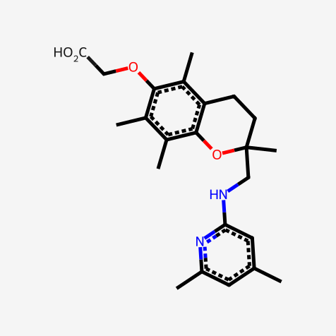 Cc1cc(C)nc(NCC2(C)CCc3c(C)c(OCC(=O)O)c(C)c(C)c3O2)c1